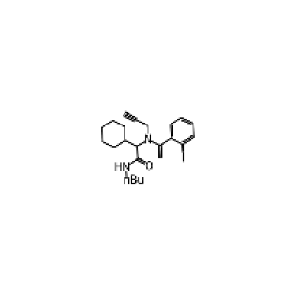 C#CCN(C(=C)c1ccccc1I)C(C(=O)NCCCC)C1CCCCC1